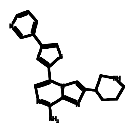 Nc1ncc(-c2cc(-c3cccnc3)cs2)n2cc(C3CCCNC3)nc12